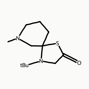 CN1CCCC2(C1)SC(=O)CN2C(C)(C)C